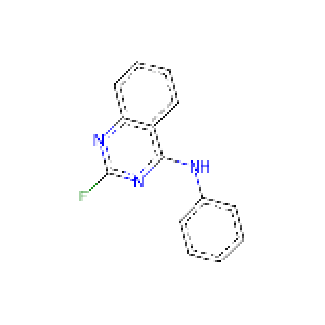 Fc1nc(Nc2ccccc2)c2ccccc2n1